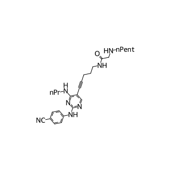 CCCCCNCC(=O)NCCCC#Cc1cnc(Nc2ccc(C#N)cc2)nc1NCCC